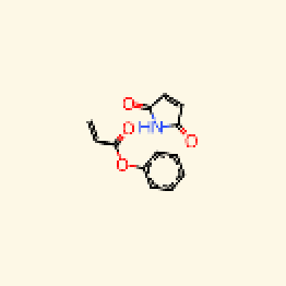 C=CC(=O)Oc1ccccc1.O=C1C=CC(=O)N1